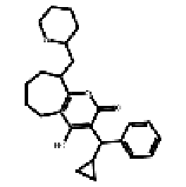 O=c1oc2c(c(O)c1C(c1ccccc1)C1CC1)CCCCC2CC1CCCCO1